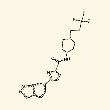 O=C(NC1CCN(CCC(F)(F)F)CC1)c1ccn(-c2ccc3cnnn3c2)n1